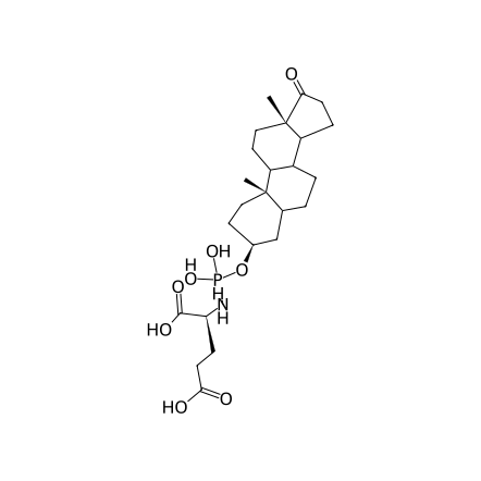 C[C@]12CC[C@H](O[PH](O)(O)N[C@@H](CCC(=O)O)C(=O)O)CC1CCC1C2CC[C@]2(C)C(=O)CCC12